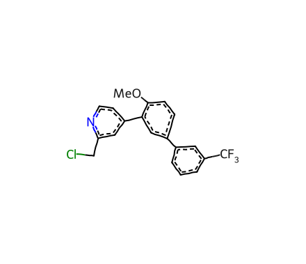 COc1ccc(-c2cccc(C(F)(F)F)c2)cc1-c1ccnc(CCl)c1